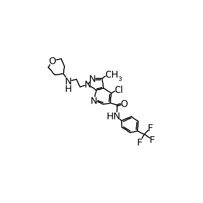 Cc1nn(CCNC2CCOCC2)c2ncc(C(=O)Nc3ccc(C(F)(F)F)cc3)c(Cl)c12